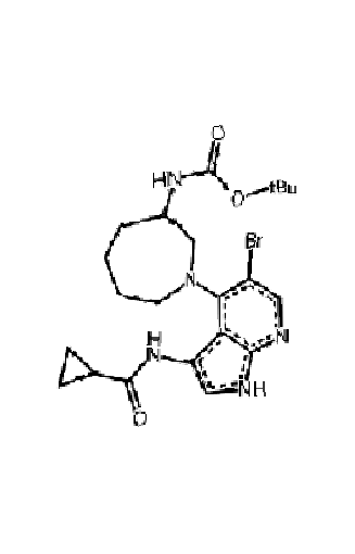 CC(C)(C)OC(=O)NC1CCCCN(c2c(Br)cnc3[nH]cc(NC(=O)C4CC4)c23)C1